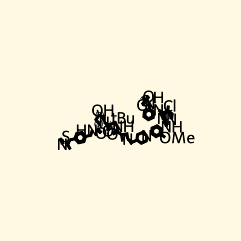 COc1cc(N2CCC(CN3CC(C(=O)N[C@H](C(=O)N4C[C@H](O)C[C@H]4C(=O)NCc4ccc(-c5scnc5C)cc4)C(C)(C)C)C3)CC2)ccc1Nc1ncc(Cl)c(Nc2ccccc2N(C)S(C)(=O)=O)n1